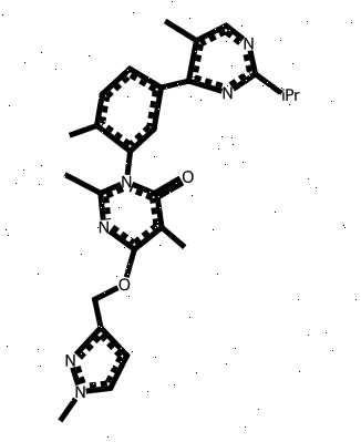 Cc1ccc(-c2nc(C(C)C)ncc2C)cc1-n1c(C)nc(OCc2ccn(C)n2)c(C)c1=O